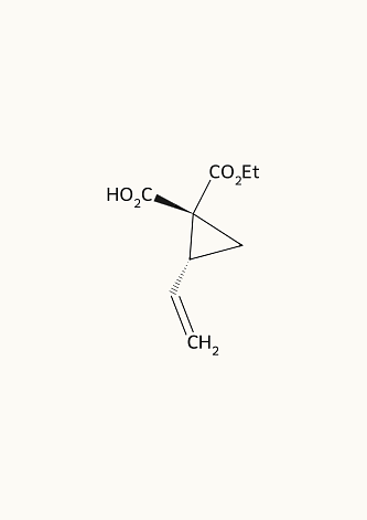 C=C[C@H]1C[C@@]1(C(=O)O)C(=O)OCC